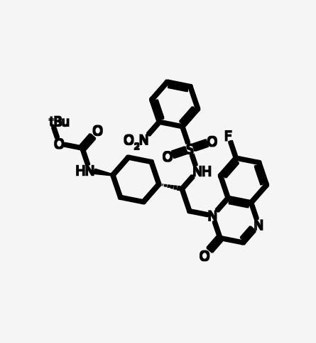 CC(C)(C)OC(=O)N[C@H]1CC[C@H](C(Cn2c(=O)cnc3ccc(F)cc32)NS(=O)(=O)c2ccccc2[N+](=O)[O-])CC1